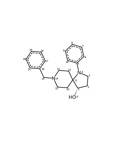 O[C@H]1CCN(c2ccccc2)C12CCN(Cc1ccccc1)CC2